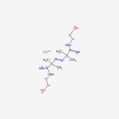 CC(C)(N=NC(C)(C)C(=N)NCCO)C(=N)NCCO.Cl